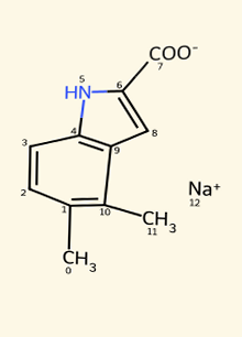 Cc1ccc2[nH]c(C(=O)[O-])cc2c1C.[Na+]